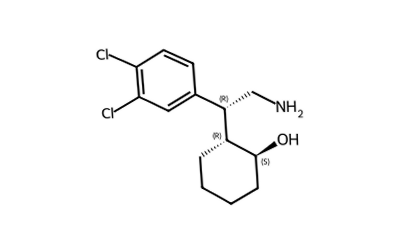 NC[C@@H](c1ccc(Cl)c(Cl)c1)[C@H]1CCCC[C@@H]1O